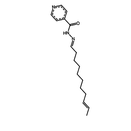 C/C=C/CCCCCCC/C=N/NC(=O)c1ccncc1